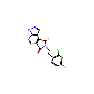 O=C1c2cnc3[nH]ncc3c2C(=O)N1CCc1ccc(Cl)cc1Cl